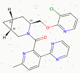 Cc1ccc(-c2ncccn2)c(C(=O)N2C[C@@H]3C[C@@H]3C[C@H]2COc2ncccc2Cl)n1